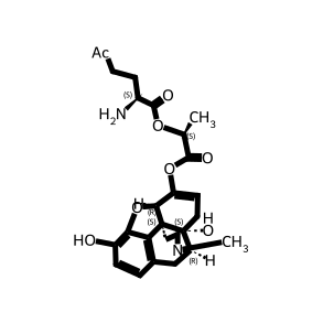 CC(=O)CC[C@H](N)C(=O)O[C@@H](C)C(=O)OC1=CC[C@@]2(O)[C@H]3Cc4ccc(O)c5c4[C@@]2(CCN3C)[C@H]1O5